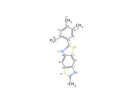 Cc1nc2cc3sc(-c4cc(C)c(C)cc4C)nc3cc2s1